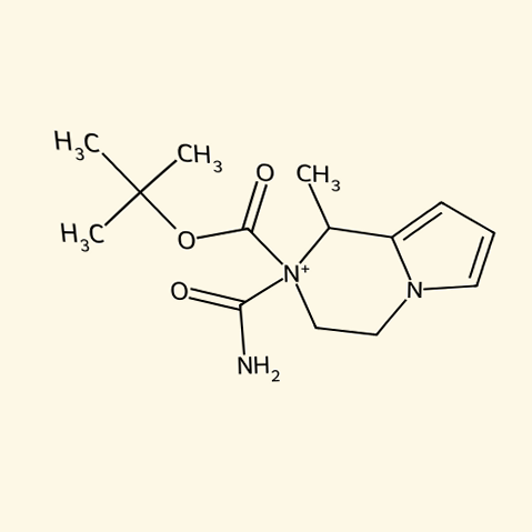 CC1c2cccn2CC[N+]1(C(N)=O)C(=O)OC(C)(C)C